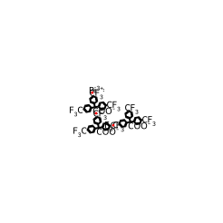 O=C([O-])C(c1ccc(C(F)(F)F)cc1)(c1ccc(C(F)(F)F)cc1)c1ccc(C(F)(F)F)cc1.O=C([O-])C(c1ccc(C(F)(F)F)cc1)(c1ccc(C(F)(F)F)cc1)c1ccc(C(F)(F)F)cc1.O=C([O-])C(c1ccc(C(F)(F)F)cc1)(c1ccc(C(F)(F)F)cc1)c1ccc(C(F)(F)F)cc1.[Bi+3]